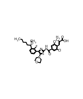 CCCCCC(OC)c1cccc(-c2nc(NC(=O)c3cc(Cl)c(/C=C(\C)C(=O)O)c(Cl)c3)sc2N2CCOCC2)c1F